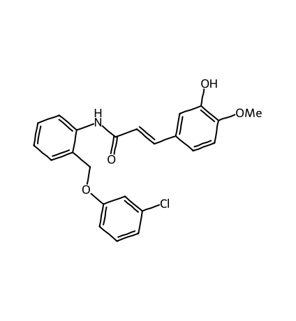 COc1ccc(C=CC(=O)Nc2ccccc2COc2cccc(Cl)c2)cc1O